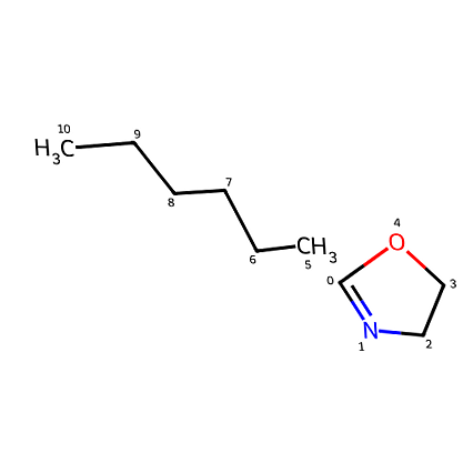 C1=NCCO1.CCCCCC